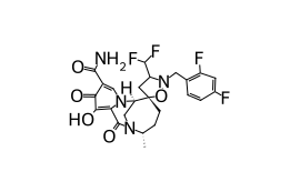 C[C@H]1CC[C@]2(CC(C(F)F)N(Cc3ccc(F)cc3F)O2)[C@H]2CN1C(=O)c1c(O)c(=O)c(C(N)=O)cn12